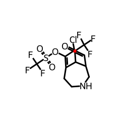 O=C(C1C2=C(OS(=O)(=O)C(F)(F)F)C(Cl)=CC1CNCC2)C(F)(F)F